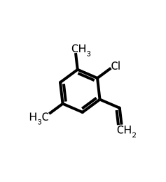 C=Cc1cc(C)cc(C)c1Cl